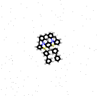 c1ccc(-c2cccc(B(c3cccc(-c4ccccc4)c3)c3c4sc5cccc6c5n5c4c4c7c3sc3cccc8c3n7-c3c(ccc7c3B4c3c(ccc(c3-5)C6)C7)C8)c2)cc1